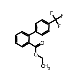 CCOC(=O)c1ccccc1-c1ccc(C(F)(F)F)cc1